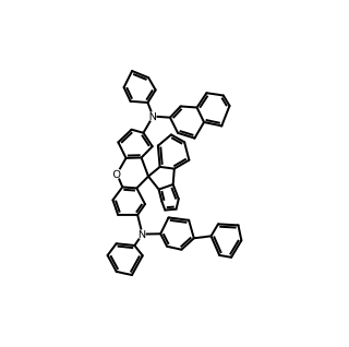 c1ccc(-c2ccc(N(c3ccccc3)c3ccc4c(c3)C3(c5cc(N(c6ccccc6)c6ccc7ccccc7c6)ccc5O4)c4ccccc4-c4ccccc43)cc2)cc1